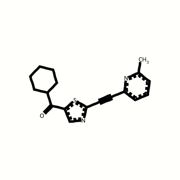 Cc1cccc(C#Cc2ncc(C(=O)C3CCCCC3)s2)n1